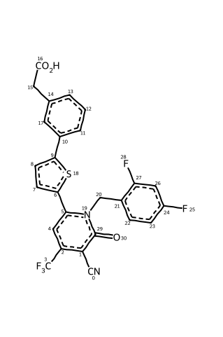 N#Cc1c(C(F)(F)F)cc(-c2ccc(-c3cccc(CC(=O)O)c3)s2)n(Cc2ccc(F)cc2F)c1=O